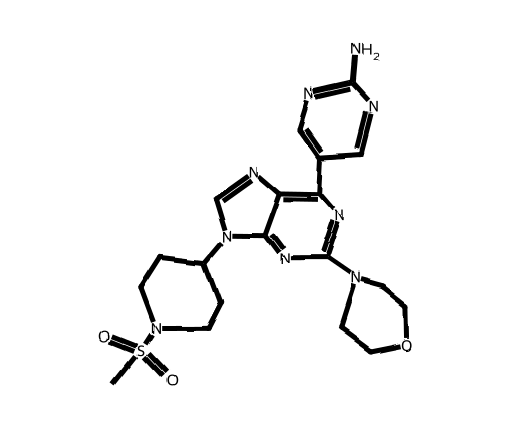 CS(=O)(=O)N1CCC(n2cnc3c(-c4cnc(N)nc4)nc(N4CCOCC4)nc32)CC1